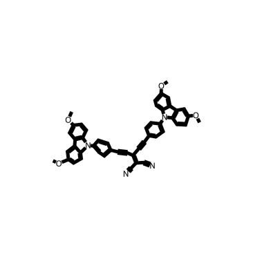 COc1ccc2c(c1)c1cc(OC)ccc1n2-c1ccc(C#CC(C#Cc2ccc(-n3c4ccc(OC)cc4c4cc(OC)ccc43)cc2)=C(C#N)C#N)cc1